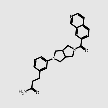 NC(=O)CCc1cccc(N2CC3CN(C(=O)c4ccc5ccncc5c4)CC3C2)c1